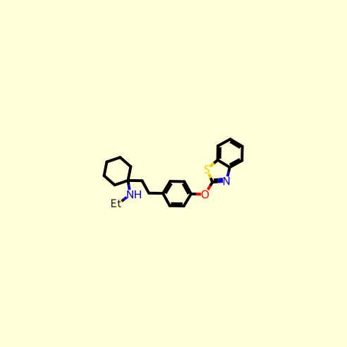 CCNC1(CCc2ccc(Oc3nc4ccccc4s3)cc2)CCCCC1